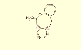 C=C1/C=c2/cncn/c2=C/CC2=C(C=C=CC=C2)O1